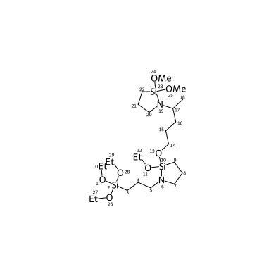 CCO[Si](CCCN1CCC[Si]1(OCC)OCCCC(C)N1CCC[Si]1(OC)OC)(OCC)OCC